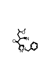 COC(C)CC(C#N)C(=O)c1cnn(Cc2ccccc2)c1